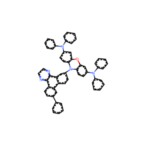 c1ccc(-c2ccc3c(c2)c2ccc(N4c5ccc(N(c6ccccc6)c6ccccc6)cc5Oc5cc(N(c6ccccc6)c6ccccc6)ccc54)cc2c2nccnc32)cc1